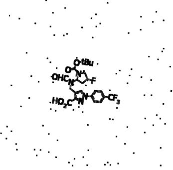 CC(C)(C)OC(=O)N1CC(F)CC1N(C=O)Cc1cn(-c2ccc(C(F)(F)F)cc2)nc1C(=O)O